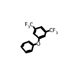 FC(F)(F)c1cc(Oc2ccccc2)cc(C(F)(F)F)c1